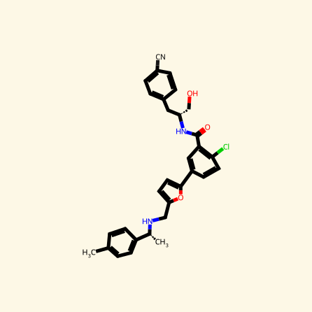 Cc1ccc([C@@H](C)NCc2ccc(-c3ccc(Cl)c(C(=O)N[C@@H](CO)Cc4ccc(C#N)cc4)c3)o2)cc1